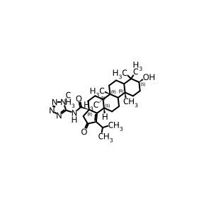 CC(C)C1=C2[C@H]3CCC4[C@@]5(C)CC[C@H](O)C(C)(C)C5CC[C@@]4(C)[C@]3(C)CC[C@@]2(C(=O)Nc2nnnn2C)CC1=O